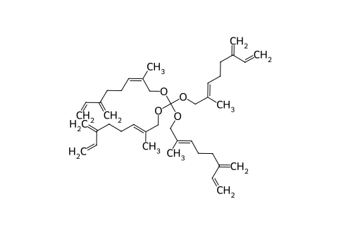 C=CC(=C)CCC=C(C)COC(OCC(C)=CCCC(=C)C=C)(OCC(C)=CCCC(=C)C=C)OCC(C)=CCCC(=C)C=C